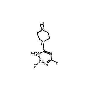 FC1=NN(F)NC(N2CCNCC2)=C1